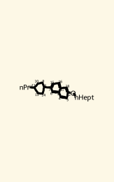 CCCCCCCOc1ccc2cc(C3CCC(CCC)CC3)ccc2c1